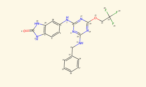 O=c1[nH]c2ccc(Nc3nc(NCc4ccccc4)nc(OCC(F)(F)F)n3)cc2[nH]1